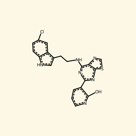 Oc1ncccc1-c1nc(NCCc2c[nH]c3ccc(Cl)cc23)c2ncsc2n1